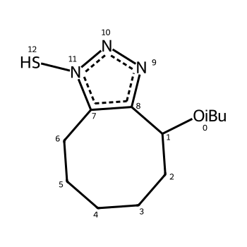 CC(C)COC1CCCCCc2c1nnn2S